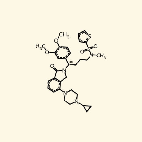 COc1ccc([C@@H](CCCN(C)S(=O)(=O)c2cccs2)N2Cc3c(cccc3N3CCN(C4CC4)CC3)C2=O)cc1OC